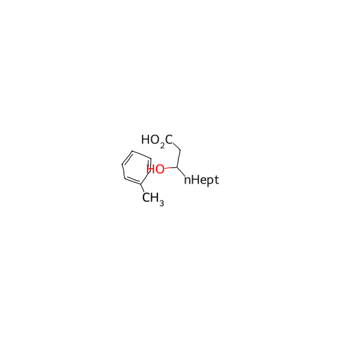 CCCCCCCC(O)CC(=O)O.Cc1ccccc1